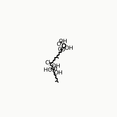 CC(/C=C/C=C/C(=O)O[C@@H]1C[C@@H](C(=O)O)CC[C@@H]1O)=C\C=C\C=C(/Cl)[C@@H](C)[C@@H](O)[C@H](O)C(=O)C[C@@H](O)/C=C/C=C/C(C)C